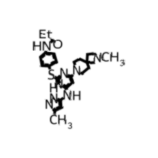 CCC(=O)Nc1ccc(Sc2nc(Nc3cc(C)n[nH]3)cc(N3CCC4(CCN(C)C4)CC3)n2)cc1